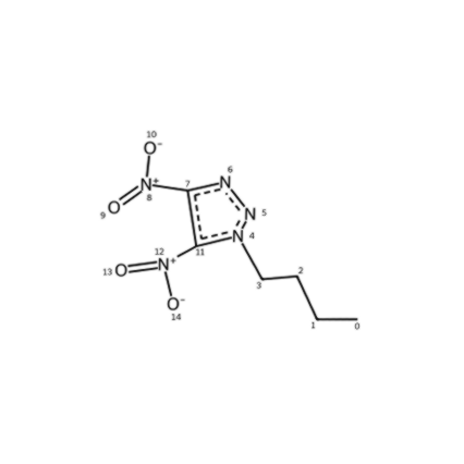 CCCCn1nnc([N+](=O)[O-])c1[N+](=O)[O-]